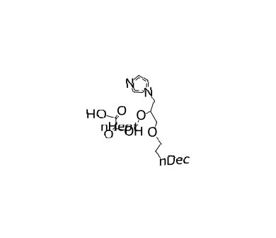 CCCCCCCCCCCCOCC(Cn1ccnc1)OCCCCCCC.O=C(O)C(=O)O